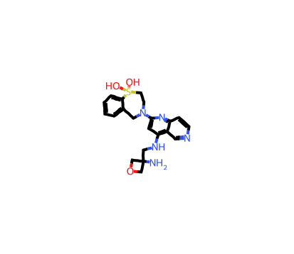 NC1(CNc2cc(N3CCS(O)(O)c4ccccc4C3)nc3ccncc23)COC1